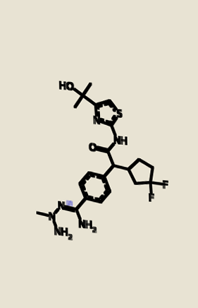 CN(N)/N=C(\N)c1ccc(C(C(=O)Nc2nc(C(C)(C)O)cs2)C2CCC(F)(F)C2)cc1